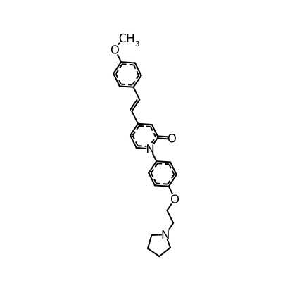 COc1ccc(C=Cc2ccn(-c3ccc(OCCN4CCCC4)cc3)c(=O)c2)cc1